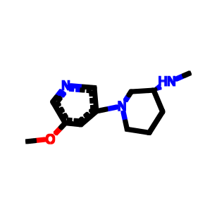 CN[C@H]1CCCN(c2cncc(OC)c2)C1